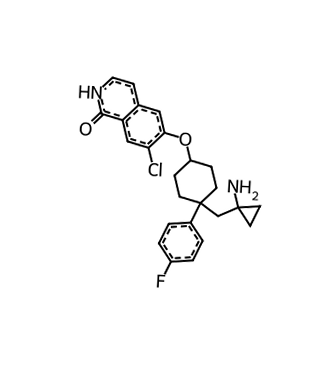 NC1(CC2(c3ccc(F)cc3)CCC(Oc3cc4cc[nH]c(=O)c4cc3Cl)CC2)CC1